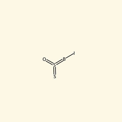 O=S(=S)=BI